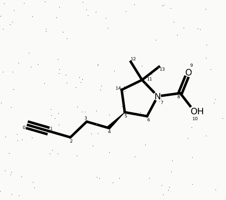 C#CCCC[C@@H]1CN(C(=O)O)C(C)(C)C1